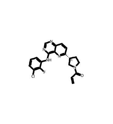 C=CC(=O)N1CC[C@@H](c2ccc3ncnc(Nc4cccc(Cl)c4F)c3n2)C1